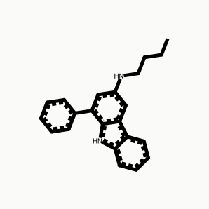 CCCCNc1cc(-c2ccccc2)c2[nH]c3ccccc3c2c1